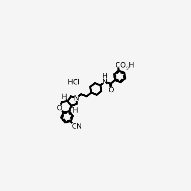 Cl.N#Cc1ccc2c(c1)[C@@H]1CN(CCC3CCC(NC(=O)c4cccc(C(=O)O)c4)CC3)C[C@H]1CO2